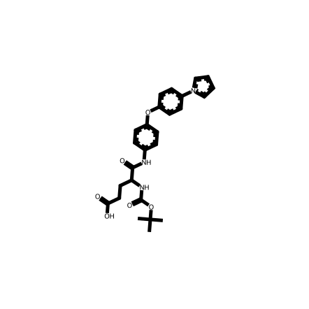 CC(C)(C)OC(=O)NC(CCC(=O)O)C(=O)Nc1ccc(Oc2ccc(-n3cccc3)cc2)cc1